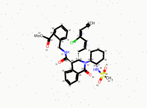 C#C/C=C(Cl)\C=C/C[C@H]1[C@H](C(=O)NCc2ccccc2C(=O)OC)c2ccccc2C(=O)N1[C@H]1CCCC[C@@H]1NS(C)(=O)=O